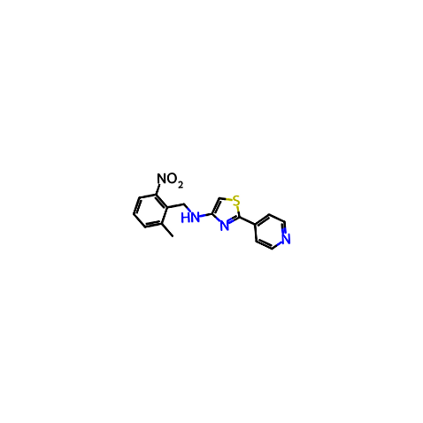 Cc1cccc([N+](=O)[O-])c1CNc1csc(-c2ccncc2)n1